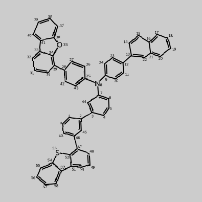 c1cc(-c2cccc(N(c3ccc(-c4ccc5ccccc5c4)cc3)c3ccc(-c4cccc5c4oc4ccccc45)cc3)c2)cc(-c2cccc3c2sc2ccccc23)c1